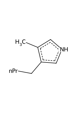 CCCCc1c[nH]cc1C